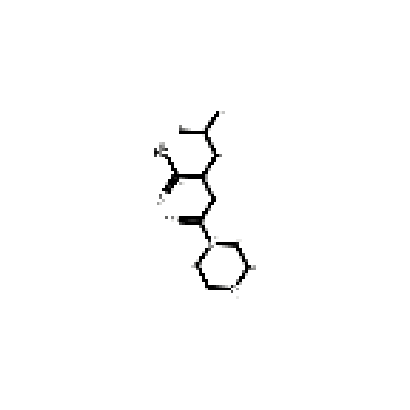 CC(C)CC(CC(=O)N1CCOCC1)C(=O)O